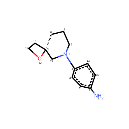 Nc1ccc(N2CCC[C@]3(CCO3)C2)cc1